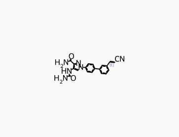 N#C/C=C/c1cccc(-c2ccc(-n3cc(NC(N)=O)c(C(N)=O)n3)cc2)c1